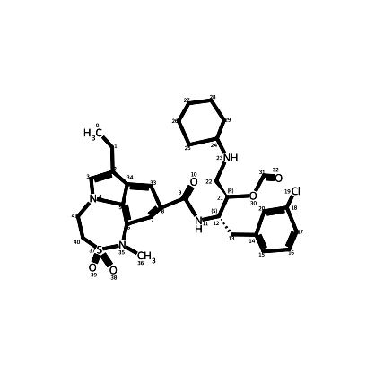 CCc1cn2c3c(cc(C(=O)N[C@@H](Cc4cccc(Cl)c4)[C@@H](CNC4CCCCC4)OC=O)cc13)N(C)S(=O)(=O)CC2